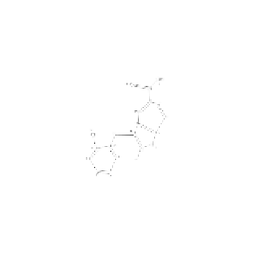 Cc1sc2ccc(C(=O)O)cc2c1Cc1ccccc1Cl